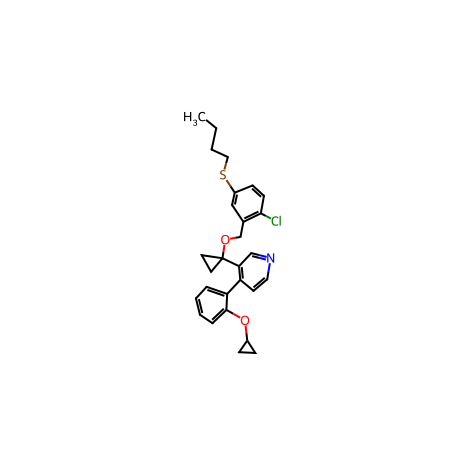 CCCCSc1ccc(Cl)c(COC2(c3cnccc3-c3ccccc3OC3CC3)CC2)c1